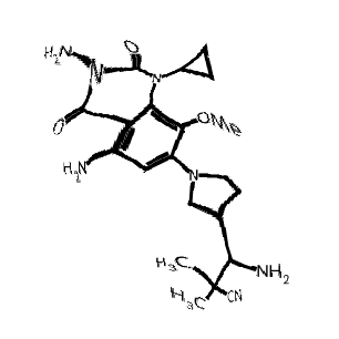 COc1c(N2CCC(C(N)C(C)(C)C#N)C2)cc(N)c2c(=O)n(N)c(=O)n(C3CC3)c12